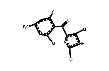 O=C(c1nc(Cl)[nH]c1Cl)c1c(Cl)cc(C(F)(F)F)cc1Cl